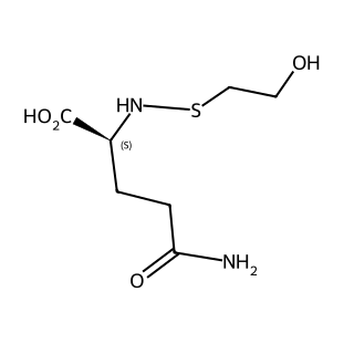 NC(=O)CC[C@H](NSCCO)C(=O)O